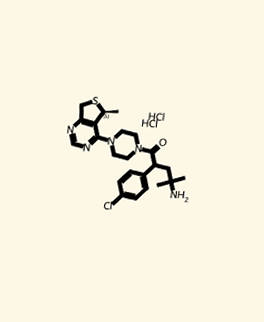 C[C@@H]1SCc2ncnc(N3CCN(C(=O)C(CC(C)(C)N)c4ccc(Cl)cc4)CC3)c21.Cl.Cl